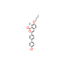 CCCCOc1ccc2cc(-c3ccc(-c4ccc(OC)cc4)cc3)oc(=O)c2c1F